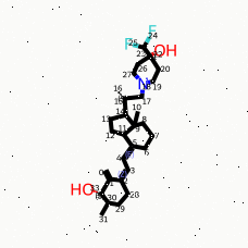 C=C1/C(=C\C=C2/CCCC3(C)C2CCC3[C@H](C)CN2CCC(O)(C(F)F)CC2)CCC(C)[C@@H]1O